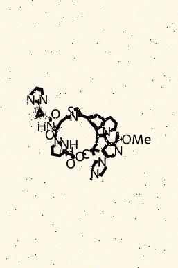 CO[C@@H](C)c1ncc(N2CCN(C)CC2)cc1-c1c2c3cc(cc4c3n1CCC4)-c1csc(n1)C[C@H](NC(=O)[C@@H]1C[C@H]1c1ncccn1)C(=O)N1CCC[C@H](N1)C(=O)OCC(C)(C)C2